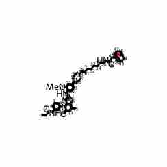 C=CC(=O)Nc1cccc(-n2c(=O)cc(C)c3cnc(Nc4ccc(N5CCN(CCCCCCCCNC(=O)CC67CC8CC(CC(C8)C6)C7)CC5)cc4OC)nc32)c1